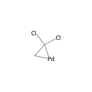 Cl[C]1(Cl)[CH2][Pd]1